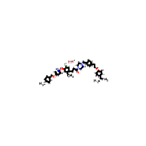 Br.Cc1ccc(COc2ccc(Oc3cc(C)c(/C=C/C(=O)N4CCN(Cc5ccc(CCOc6ccc(C(C)C)cc6)cc5)CC4)cc3Cl)nc2)cc1